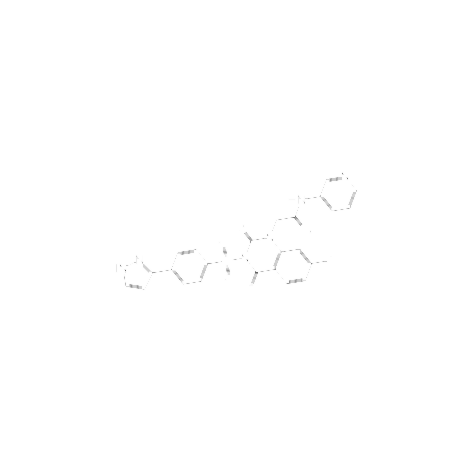 O=C(Cn1c(=O)n(S(=O)(=O)c2ccc(-c3cc[nH]n3)cc2)c(=O)c2ccc(Cl)cc21)Nc1cccnc1